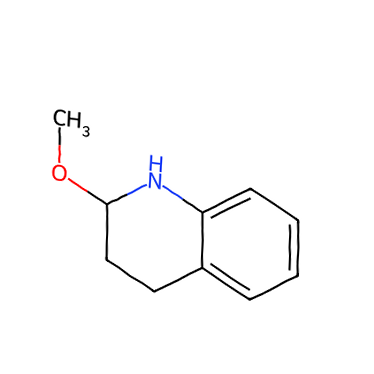 COC1CCc2ccccc2N1